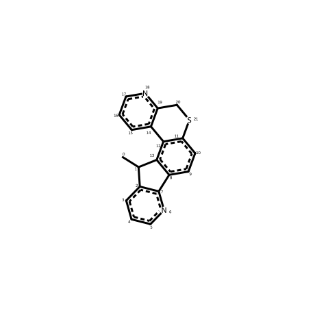 CC1c2cccnc2-c2ccc3c(c21)-c1cccnc1CS3